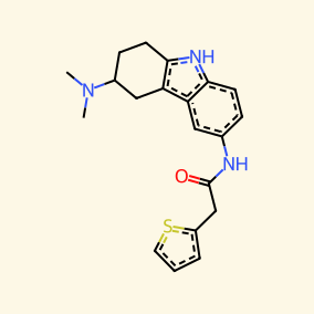 CN(C)C1CCc2[nH]c3ccc(NC(=O)Cc4cccs4)cc3c2C1